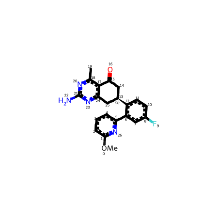 COc1cccc(-c2cc(F)ccc2[C@@H]2CC(=O)c3c(C)nc(N)nc3C2)n1